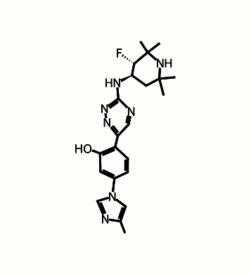 Cc1cn(-c2ccc(-c3cnc(N[C@@H]4CC(C)(C)NC(C)(C)[C@H]4F)nn3)c(O)c2)cn1